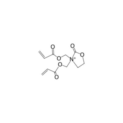 C=CC(=O)OC[N+]1(COC(=O)C=C)CCOC1=O